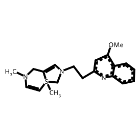 COc1cc(CCN2C=C3CN(C)C=CS3(C)C2)nc2ccccc12